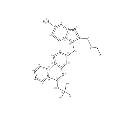 CCCCc1nc2cc(N)ccc2n1Cc1ccc(-c2ccccc2C(=O)OC(C)(C)C)cc1